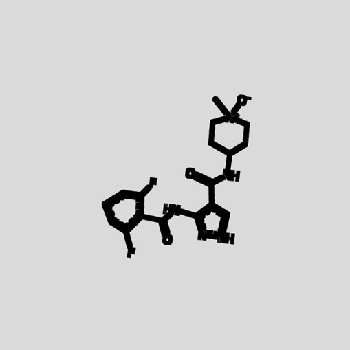 C[N+]1([O-])CCC(NC(=O)c2c[nH]nc2NC(=O)c2c(F)cccc2F)CC1